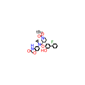 CC(C)(C)OC(=O)N1CC[C@H](c2cc(O)cc(-c3ccccc3F)c2)[C@@H](C(=O)N(c2ccc3c(c2)NC(=O)CO3)C2CC2)C1